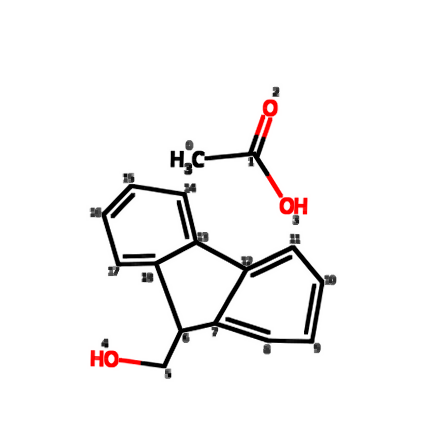 CC(=O)O.OCC1c2ccccc2-c2ccccc21